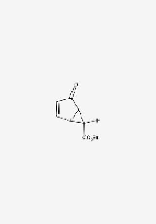 CCOC(=O)C1(F)C2C=CC(=O)C21